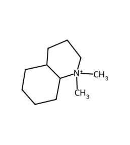 C[N+]1(C)CCCC2CCCCC21